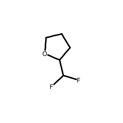 FC(F)C1CCCO1